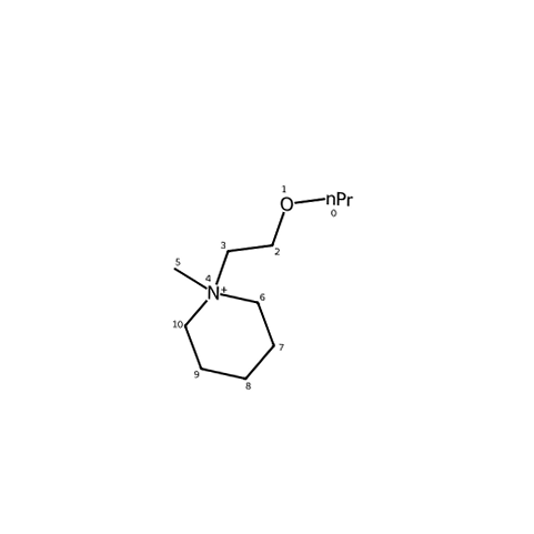 CCCOCC[N+]1(C)CCCCC1